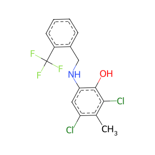 Cc1c(Cl)cc(NCc2ccccc2C(F)(F)F)c(O)c1Cl